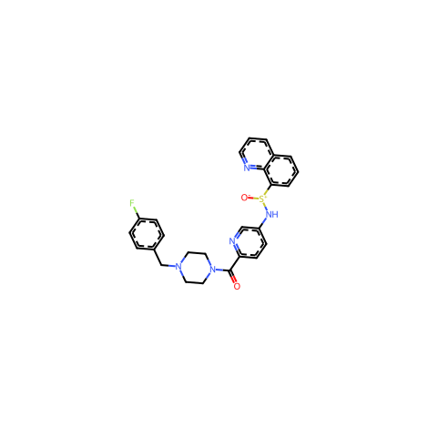 O=C(c1ccc(N[S+]([O-])c2cccc3cccnc23)cn1)N1CCN(Cc2ccc(F)cc2)CC1